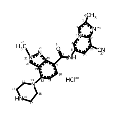 Cc1cn2cc(NC(=O)c3ccc(N4CCNCC4)c4cn(C)nc34)cc(C#N)c2n1.Cl